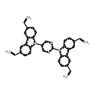 C=Cc1ccc2c(c1)c1cc(C=C)ccc1n2-c1cnc(-n2c3ccc(C=C)cc3c3cc(C=C)ccc32)nc1